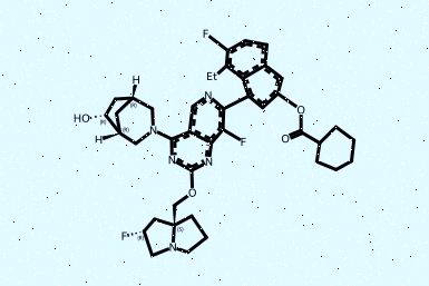 CCc1c(F)ccc2cc(OC(=O)C3CCCCC3)cc(-c3ncc4c(N5C[C@@H]6C[C@H](C5)[C@H](O)C6)nc(OC[C@@]56CCCN5C[C@H](F)C6)nc4c3F)c12